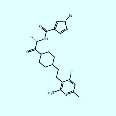 CCn1cc(C(=O)N[C@@H](C)C(=O)N2CCC(CCc3c(N)nc(C)nc3Cl)CC2)cn1